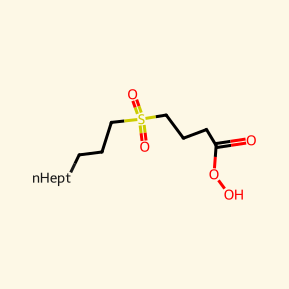 CCCCCCCCCCS(=O)(=O)CCCC(=O)OO